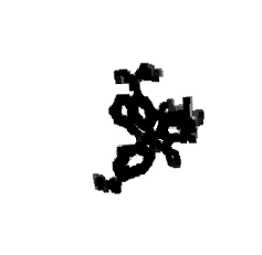 CCN(CC)c1ccc(C2(N(c3ccccc3)c3ccc(OC(C)C)cc3)OC(=O)c3ncccc32)c(C)c1